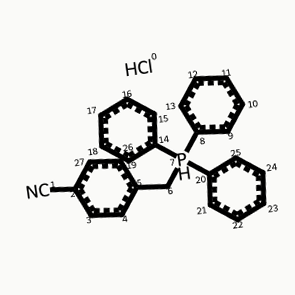 Cl.N#Cc1ccc(C[PH](c2ccccc2)(c2ccccc2)c2ccccc2)cc1